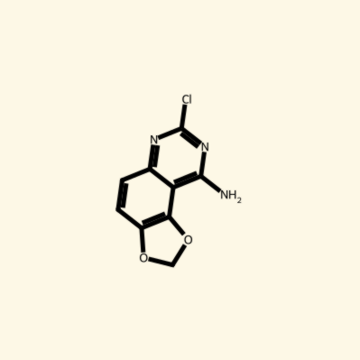 Nc1nc(Cl)nc2ccc3c(c12)OCO3